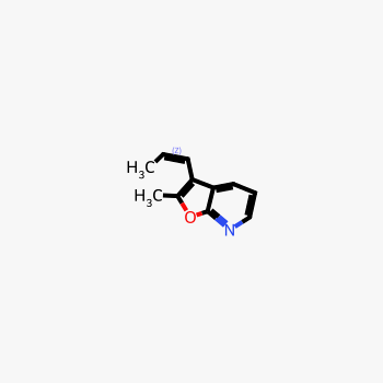 C/C=C\c1c(C)oc2ncccc12